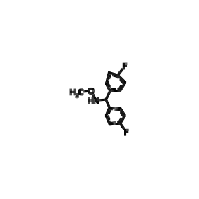 CONC(c1ccc(F)cc1)c1ccc(F)cc1